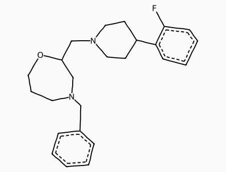 Fc1ccccc1C1CCN(CC2CN(Cc3ccccc3)CCCO2)CC1